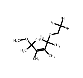 [2H]C([2H])([2H])COC(C)(C)/C(C)=C(/C)C(C)(C)OC